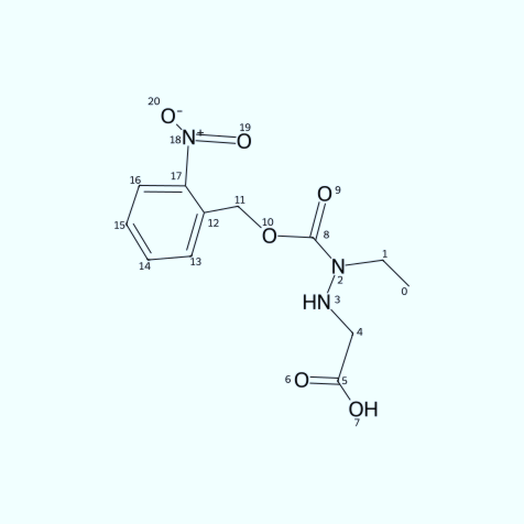 CCN(NCC(=O)O)C(=O)OCc1ccccc1[N+](=O)[O-]